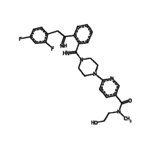 CN(CCO)C(=O)c1ccc(N2CCN(C(=N)c3ccccc3C(=N)Cc3ccc(F)cc3F)CC2)nc1